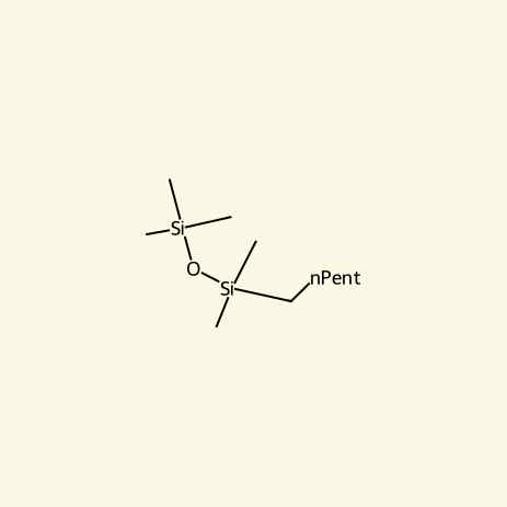 [CH2]CCCCC[Si](C)(C)O[Si](C)(C)C